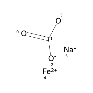 O=C([O-])[O-].[Fe+2].[Na+]